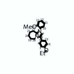 CCOc1ccc(-c2cn(-c3ccccc3OC)c3[n+]2CCCCC3)cc1